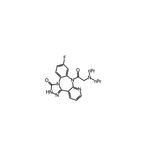 CCCN(CCC)CC(=O)N1c2cc(F)ccc2-n2c(n[nH]c2=O)-c2cccnc21